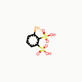 O=S(=O)(O)c1cccc(P)c1S(=O)(=O)O